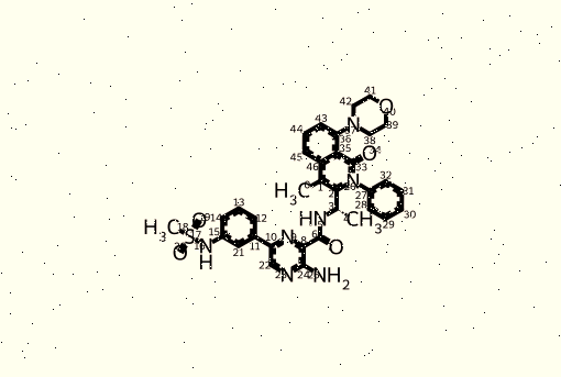 Cc1c([C@H](C)NC(=O)c2nc(-c3cccc(NS(C)(=O)=O)c3)cnc2N)n(-c2ccccc2)c(=O)c2c(N3CCOCC3)cccc12